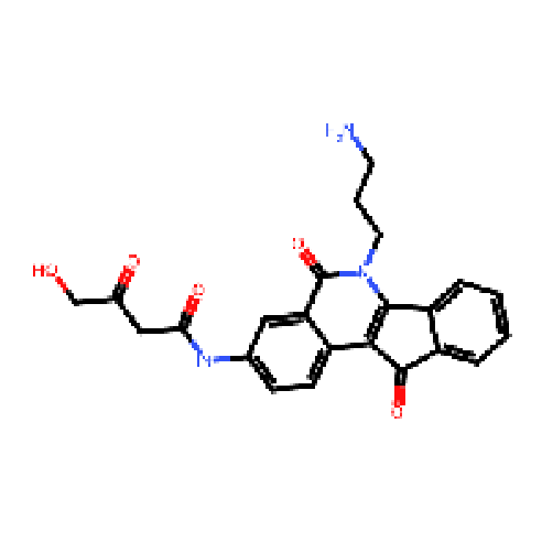 NCCCn1c2c(c3ccc(NC(=O)CC(=O)CO)cc3c1=O)C(=O)c1ccccc1-2